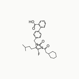 CC(C)CCc1c(F)n(C(=O)CC2CCCCC2)c(=O)n1Cc1ccc(-c2ccccc2C(=O)O)cc1